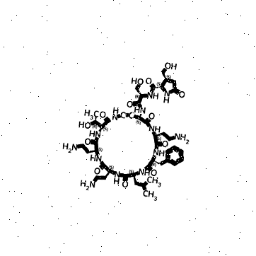 CC(C)C[C@@H]1NC(=O)[C@@H](Cc2ccccc2)NC(=O)[C@H](CCN)NC(=O)[C@@H](NC(=O)[C@@H](CO)NC(=O)[C@H]2NC(=O)C[C@@H]2CO)CCNC(=O)[C@H]([C@@H](C)O)NC(=O)[C@H](CCN)NC(=O)[C@H](CCN)NC1=O